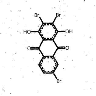 O=C1c2ccc(Br)cc2C(=O)c2c(O)c(Br)c(Br)c(O)c21